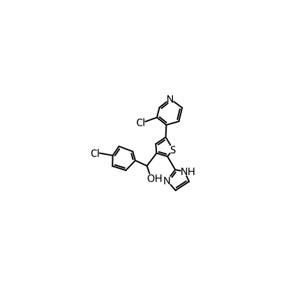 OC(c1ccc(Cl)cc1)c1cc(-c2ccncc2Cl)sc1-c1ncc[nH]1